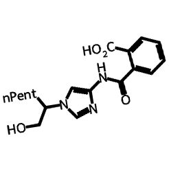 CCCCCC(CO)n1cnc(NC(=O)c2ccccc2C(=O)O)c1